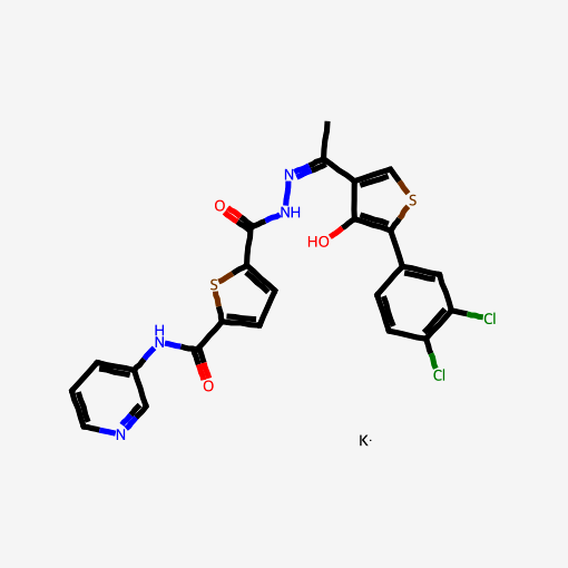 CC(=NNC(=O)c1ccc(C(=O)Nc2cccnc2)s1)c1csc(-c2ccc(Cl)c(Cl)c2)c1O.[K]